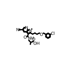 CC(CNC(=O)c1c(CCCCOCc2cccc(Cl)c2)n(C)c2ncc(C#N)cc12)C(=O)O